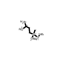 CCCO[Si](C)(CCC(N)O)OC